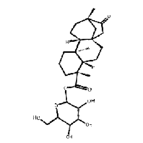 C[C@@]12CC[C@@H]3[C@@](CC[C@H]4[C@@]3(C)CCC[C@@]4(C)C(=O)OC3OC(CO)C(O)C(O)C3O)(CC1=O)C2